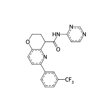 O=C(Nc1ccncn1)C1CCOc2ccc(-c3cccc(C(F)(F)F)c3)nc21